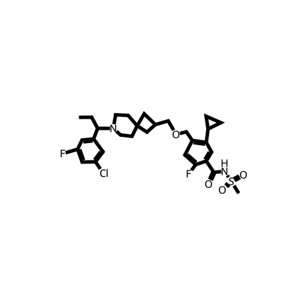 CCC(c1cc(F)cc(Cl)c1)N1CCC2(CC1)CC(COCc1cc(F)c(C(=O)NS(C)(=O)=O)cc1C1CC1)C2